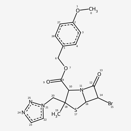 COc1ccc(COC(=O)C2N3C(=O)C(Br)C3SC2(C)Cn2ccnn2)cc1